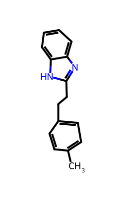 Cc1ccc(CCc2nc3ccccc3[nH]2)cc1